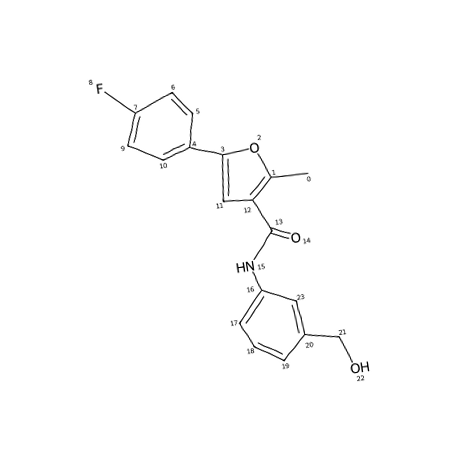 Cc1oc(-c2ccc(F)cc2)cc1C(=O)Nc1cccc(CO)c1